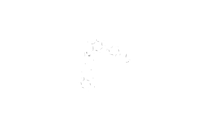 Cc1ccc(-c2ccc(OC(F)(F)F)cc2)cc1NCCCCc1ccccc1